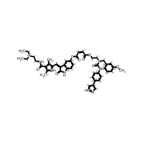 CCN(CC)CCNC(=O)c1c(C)[nH]c(/C=C2\C(=O)Nc3ccc(OC(=O)/C=C\C(=O)OCCN(Cc4cccc(OC)c4)C(=O)Nc4ccc(-c5cn[nH]c5)cc4)cc32)c1C